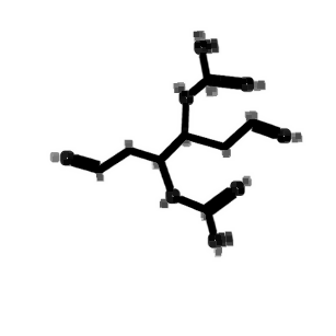 O=CCC(OC(=O)O)C(CC=O)OC(=O)O